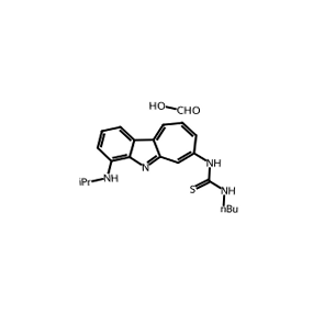 CCCCNC(=S)Nc1cccc2c3cccc(NC(C)C)c3nc-2c1.O=CO